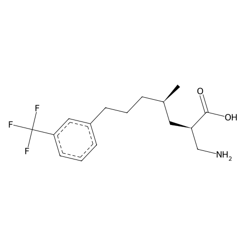 C[C@H](CCCc1cccc(C(F)(F)F)c1)C[C@H](CN)C(=O)O